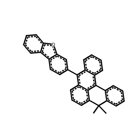 CC1(C)c2ccccc2-c2c3ccccc3c(-c3ccc4c(c3)oc3ccccc34)c3cccc1c23